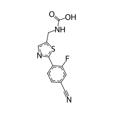 N#Cc1ccc(-c2ncc(CNC(=O)O)s2)c(F)c1